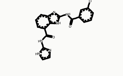 O=C(Nc1nc2cccc(C(=O)Nc3ncc[nH]3)c2[nH]1)c1cccc(Cl)c1